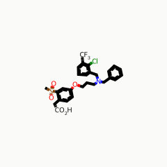 CS(=O)(=O)c1cc(OCCCN(Cc2ccccc2)Cc2cccc(C(F)(F)F)c2Cl)ccc1CC(=O)O